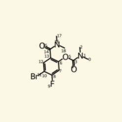 CN(C)C(=O)Oc1cc(F)c(Br)cc1C(=O)N(C)C